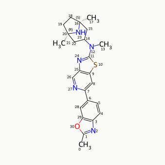 Cc1nc2ccc(-c3cc4sc(N(C)C5C[C@]6(C)CC[C@](C)(C5)N6)nc4cn3)cc2o1